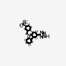 O=[N+]([O-])c1cccc(Cn2c3ccccc3c3cc(-c4nn[nH]n4)ccc32)c1